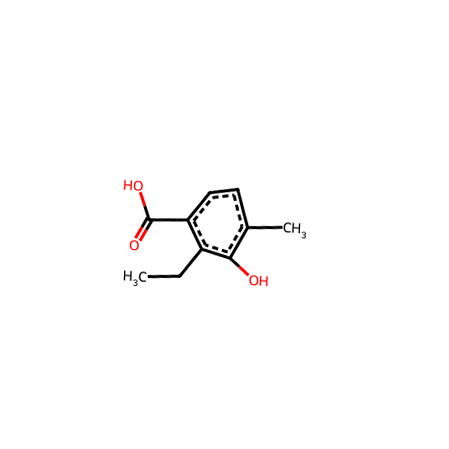 CCc1c(C(=O)O)ccc(C)c1O